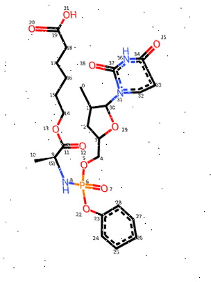 CC1CC(COP(=O)(N[C@@H](C)C(=O)OCCCCCC(=O)O)Oc2ccccc2)OC1n1ccc(=O)[nH]c1=O